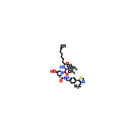 C#CCCCCCC(=O)NC(C(=O)N1C[C@H](O)C[C@H]1C(=O)NCc1ccc(-c2scnc2C)cc1)C(C)(C)C